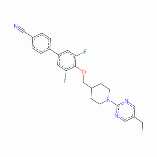 CCc1cnc(N2CCC(COc3c(F)cc(-c4ccc(C#N)cc4)cc3F)CC2)nc1